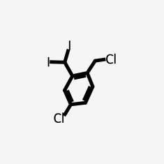 ClCc1ccc(Cl)cc1C(I)I